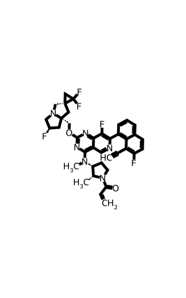 C#Cc1c(F)ccc2cccc(-c3ncc4c(N(C)[C@@H]5CCN(C(=O)C=C)[C@@H]5C)nc(OC[C@]56C[C@@H](F)CN5C[C@@]5(CC5(F)F)C6)nc4c3F)c12